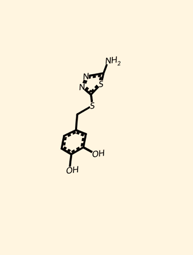 Nc1nnc(SCc2ccc(O)c(O)c2)s1